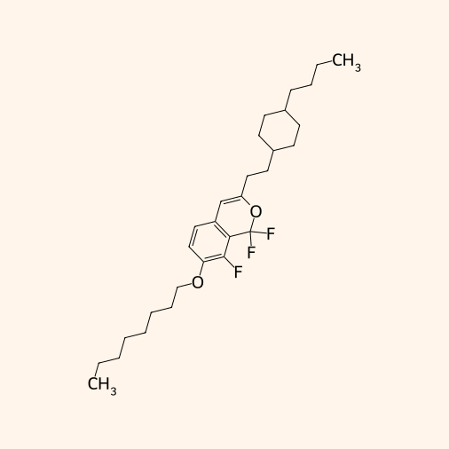 CCCCCCCCOc1ccc2c(c1F)C(F)(F)OC(CCC1CCC(CCCC)CC1)=C2